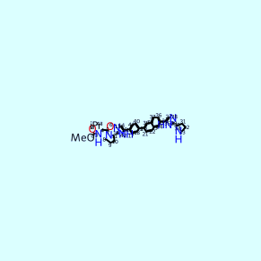 COC(=O)NC(C(=O)N1CCC[C@H]1c1ncc(-c2ccc(-c3ccc4cc(-c5cnc([C@@H]6CCCN6)[nH]5)ccc4c3)cc2)[nH]1)C(C)C